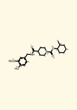 COc1cc(CNC(=O)C2CCN(C(=O)OC3CCCCC3C)CC2)ccc1O